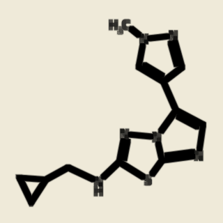 Cn1cc(-c2cnc3sc(NCC4CC4)nn23)cn1